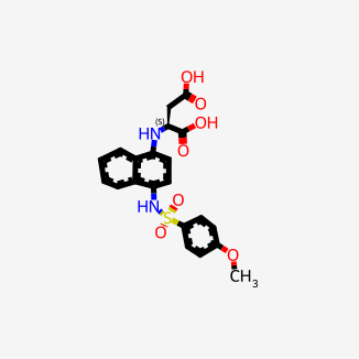 COc1ccc(S(=O)(=O)Nc2ccc(N[C@@H](CC(=O)O)C(=O)O)c3ccccc23)cc1